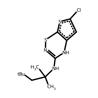 CC(C)(C)CC(C)(C)NC1=NSc2sc(Cl)cc2N1